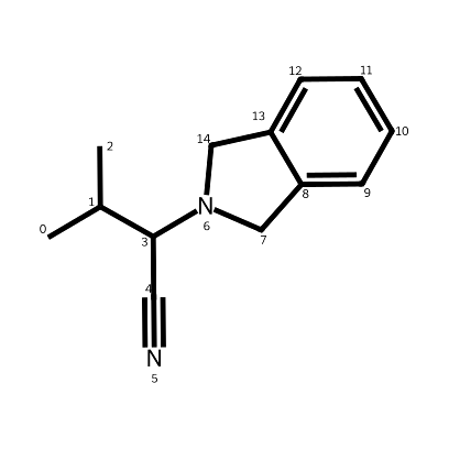 CC(C)C(C#N)N1Cc2ccccc2C1